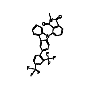 CN1C(=O)c2cccc(-n3c4ccccc4c4cc(-c5ccc(C(F)(F)F)cc5C(F)(F)F)ccc43)c2C1=O